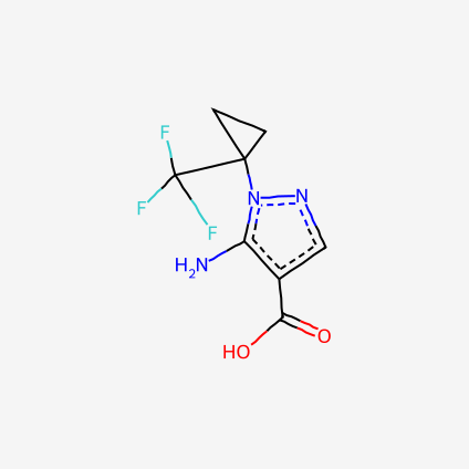 Nc1c(C(=O)O)cnn1C1(C(F)(F)F)CC1